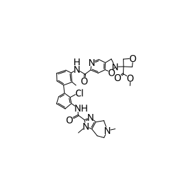 COC(=O)C1(N2Cc3cnc(C(=O)Nc4cccc(-c5cccc(NC(=O)c6nc7c(n6C)CCN(C)C7)c5Cl)c4C)cc3O2)COC1